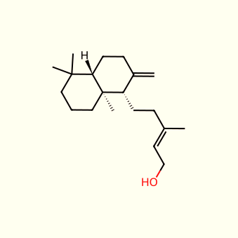 C=C1CC[C@H]2C(C)(C)CCC[C@]2(C)[C@H]1CCC(C)=CCO